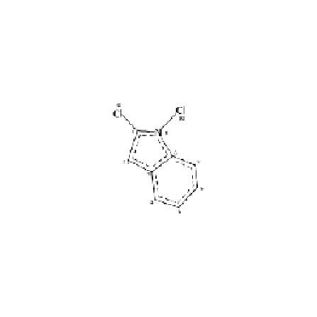 Clc1[c]c2ccccc2n1Cl